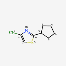 Clc1csc(C2CCCC2)n1